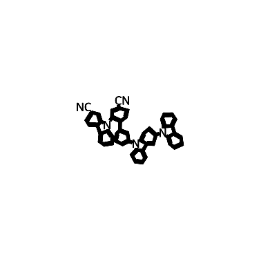 N#Cc1ccc(-c2cccc(-n3c4ccccc4c4cc(-n5c6ccccc6c6ccccc65)ccc43)c2)c(-n2c3ccccc3c3ccc(C#N)cc32)c1